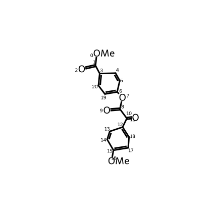 COC(=O)c1ccc(OC(=O)C(=O)c2ccc(OC)cc2)cc1